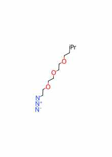 CC(C)CCOCCOCCOCCN=[N+]=[N-]